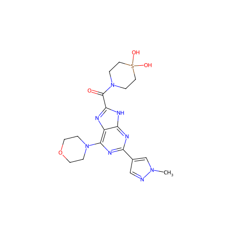 Cn1cc(-c2nc(N3CCOCC3)c3nc(C(=O)N4CCS(O)(O)CC4)[nH]c3n2)cn1